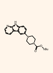 CCCCOC(=O)N1CCN(c2ccc3[nH]c4ncccc4c3c2)CC1